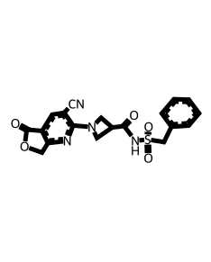 N#Cc1cc2c(nc1N1CC(C(=O)NS(=O)(=O)Cc3ccccc3)C1)COC2=O